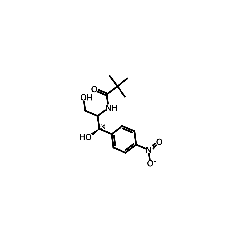 CC(C)(C)C(=O)NC(CO)[C@H](O)c1ccc([N+](=O)[O-])cc1